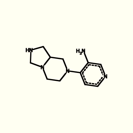 Nc1cnccc1N1CCN2CNCC2C1